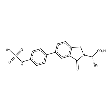 CC(C)[C@@H](C(=O)O)N1Cc2ccc(-c3ccc(NS(=O)(=O)C(C)C)cc3)cc2C1=O